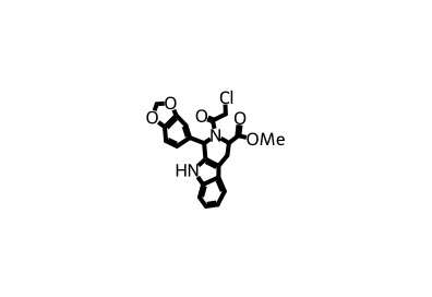 COC(=O)C1Cc2c([nH]c3ccccc23)C(c2ccc3c(c2)OCO3)N1C(=O)CCl